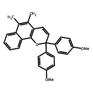 COc1ccc(C2(c3ccc(OC)cc3)C=Cc3c(C)c(C)c4ccccc4c3O2)cc1